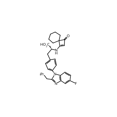 CC(C)Cc1nc2cc(F)ccc2n1-c1ccc(C[C@H](NC2=CC(=O)C23CCCCC3)C(=O)O)cc1